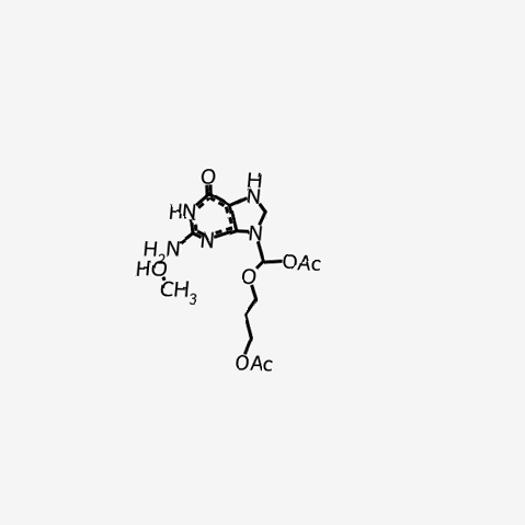 CC(=O)OCCCOC(OC(C)=O)N1CNc2c1nc(N)[nH]c2=O.CO